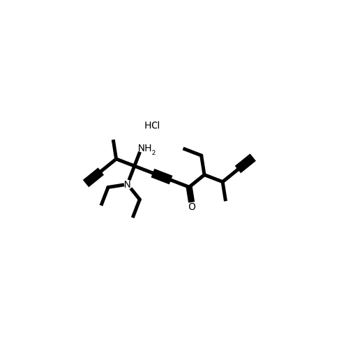 C#CC(C)C(CC)C(=O)C#CC(N)(C(C)C#C)N(CC)CC.Cl